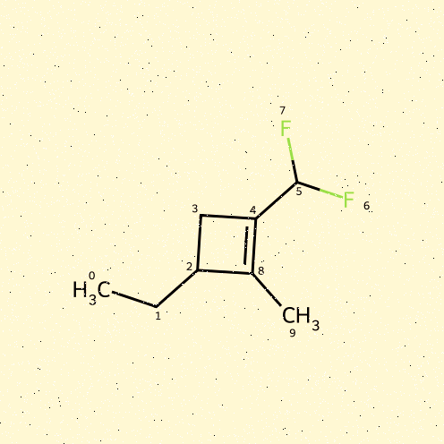 CCC1CC(C(F)F)=C1C